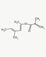 C=C(C)C(=O)OC(C)=CC(C)=CC